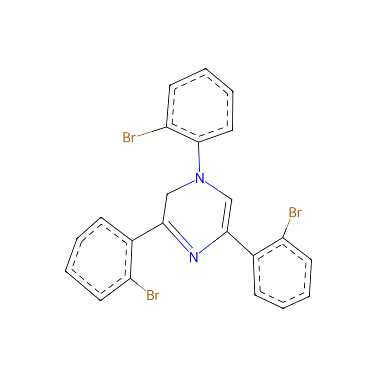 Brc1ccccc1C1=CN(c2ccccc2Br)CC(c2ccccc2Br)=N1